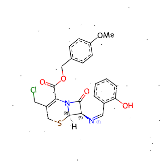 COc1ccc(COC(=O)C2=C(CCl)CS[C@@H]3[C@H](/N=C\c4ccccc4O)C(=O)N23)cc1